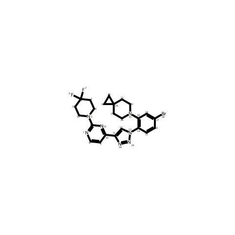 FC1(F)CCN(c2nccc(-c3cn(-c4ccc(Br)cc4N4CCC5(CC4)CC5)nn3)n2)CC1